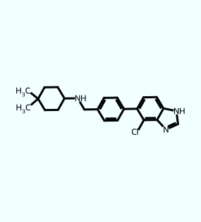 CC1(C)CCC(NCc2ccc(-c3ccc4[nH]cnc4c3Cl)cc2)CC1